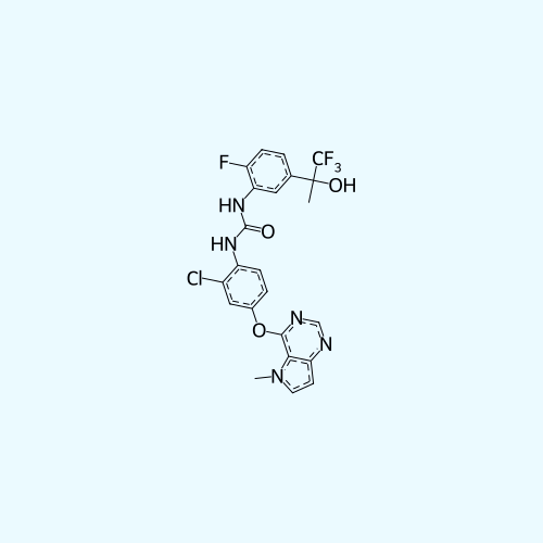 Cn1ccc2ncnc(Oc3ccc(NC(=O)Nc4cc(C(C)(O)C(F)(F)F)ccc4F)c(Cl)c3)c21